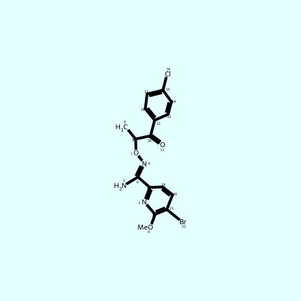 COc1nc(/C(N)=N/OC(C)C(=O)c2ccc(Cl)cc2)ccc1Br